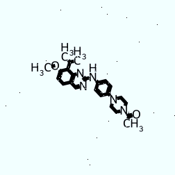 COC1=CCc2cnc(Nc3ccc(N4CCN(C(C)=O)CC4)cc3)nc2C1C(C)C